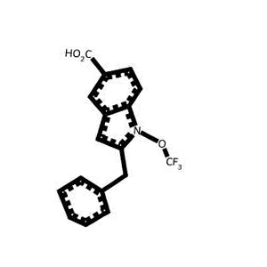 O=C(O)c1ccc2c(c1)cc(Cc1ccccc1)n2OC(F)(F)F